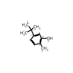 Cc1[c]cc(C(C)(C)C)cc1O